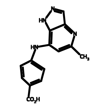 Cc1cc(Nc2ccc(C(=O)O)cc2)c2[nH]ncc2n1